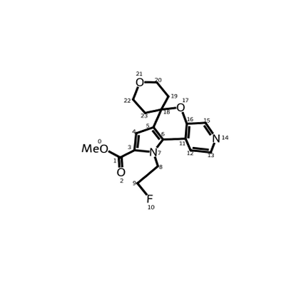 COC(=O)c1cc2c(n1CCF)-c1ccncc1OC21CCOCC1